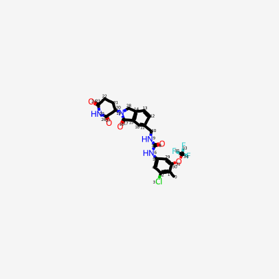 Cc1c(Cl)cc(NC(=O)NCc2ccc3c(c2)C(=O)N(C2CCC(=O)NC2=O)C3)cc1OC(F)(F)F